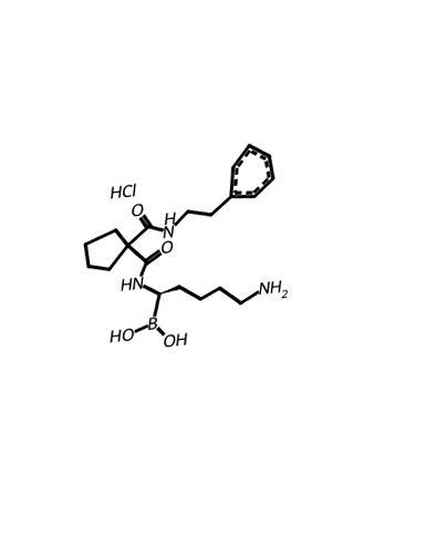 Cl.NCCCC[C@H](NC(=O)C1(C(=O)NCCc2ccccc2)CCCC1)B(O)O